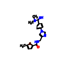 Cc1ccc(C(=O)NCc2cn(-c3ccc(C(=N)N(C)C)cc3)cn2)s1